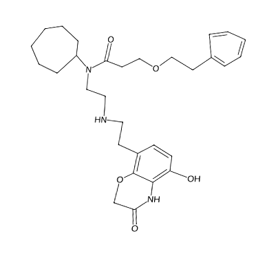 O=C1COc2c(CCNCCN(C(=O)CCOCCc3ccccc3)C3CCCCCC3)ccc(O)c2N1